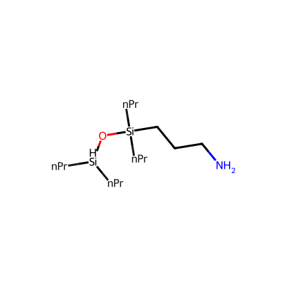 CCC[SiH](CCC)O[Si](CCC)(CCC)CCCN